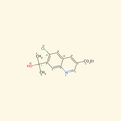 CCOC(=O)c1cnc2cc(C(C)(C)O)c(Cl)cc2c1